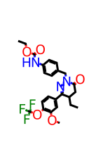 CCOC(=O)Nc1ccc(CN2N=C(c3ccc(OC(F)(F)F)c(OC)c3)C(CC)CC2=O)cc1